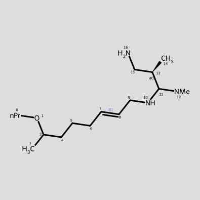 CCCOC(C)CCC/C=C/CNC(NC)[C@H](C)CN